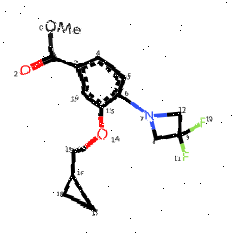 COC(=O)c1ccc(N2CC(F)(F)C2)c(OCC2CC2)c1